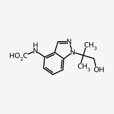 CC(C)(CO)n1ncc2c(NC(=O)O)cccc21